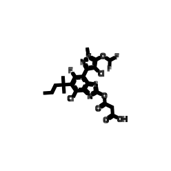 CCCC(C)(C)c1c(F)c(-c2nn(C)c(OC(F)F)c2Cl)c2sc(OC(=O)CC(=O)O)nc2c1Cl